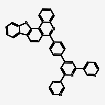 c1cncc(-c2cc(-c3ccc(-c4nc5ccccc5c5c4ccc4c6ccccc6oc45)cc3)cc(-c3cccnc3)n2)c1